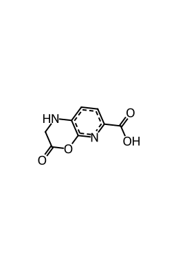 O=C1CNc2ccc(C(=O)O)nc2O1